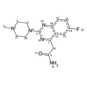 CN1CCN(c2nc(CC(N)=O)c3cc(F)ccc3n2)CC1